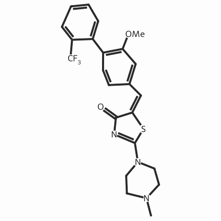 COc1cc(C=C2SC(N3CCN(C)CC3)=NC2=O)ccc1-c1ccccc1C(F)(F)F